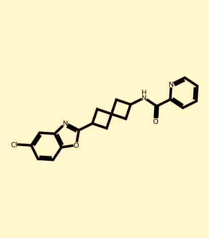 O=C(NC1CC2(C1)CC(c1nc3cc(Cl)ccc3o1)C2)c1ccccn1